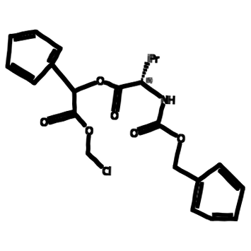 CC(C)[C@H](NC(=O)OCc1ccccc1)C(=O)OC(C(=O)OCCl)c1ccccc1